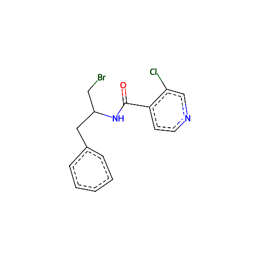 O=C(NC(CBr)Cc1ccccc1)c1ccncc1Cl